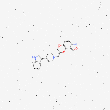 C1=C(c2c[nH]c3ccccc23)CCN(CC2COc3ccc4nocc4c3O2)C1